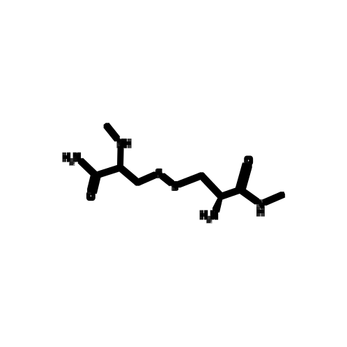 CNC(=O)[C@@H](N)CSSCC(NC)C(N)=O